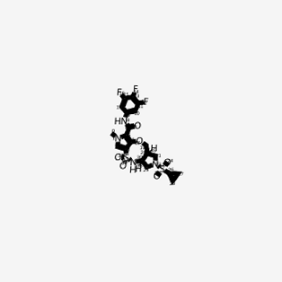 Cn1cc2c(c1C(=O)Nc1cc(F)c(F)c(F)c1)OC[C@H]1CN(S(=O)(=O)C3CC3)C[C@H]1NS2(=O)=O